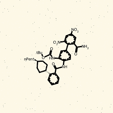 CCCCC[C@H]1CC[C@H](c2ccccc2C(=O)Nc2ccc(-c3c(C(N)=O)cc([N+](=O)[O-])cc3[N+](=O)[O-])cc2NC(=O)OC(C)(C)C)CC1